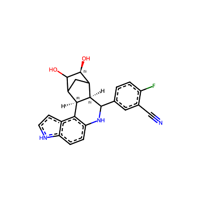 N#Cc1cc(C2Nc3ccc4[nH]ccc4c3[C@H]3C4CC([C@H](O)C4O)[C@@H]23)ccc1F